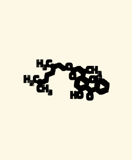 C=C(C)CCCC(C)CCOC(=O)/C=C(/C)c1ccc(O)c(C(=O)c2ccccc2)c1O